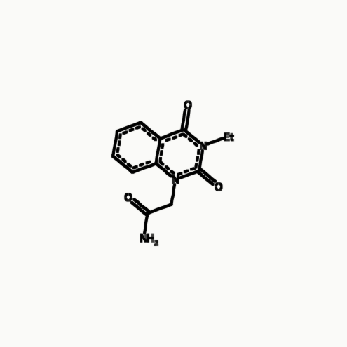 CCn1c(=O)c2ccccc2n(CC(N)=O)c1=O